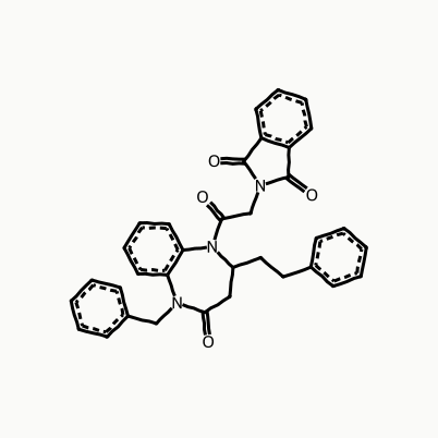 O=C1c2ccccc2C(=O)N1CC(=O)N1c2ccccc2N(Cc2ccccc2)C(=O)CC1CCc1ccccc1